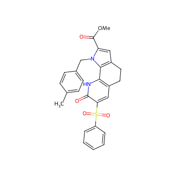 COC(=O)c1cc2c(n1Cc1ccc(C)cc1)-c1[nH]c(=O)c(S(=O)(=O)c3ccccc3)cc1CC2